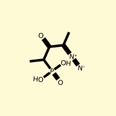 CC(=[N+]=[N-])C(=O)C(C)P(=O)(O)O